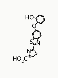 O=C(O)[C@H]1CSC(c2nc3ccc(Oc4ccccc4O)cc3s2)=N1